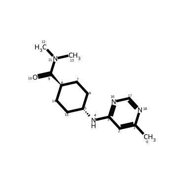 Cc1cc(N[C@H]2CC[C@H](C(=O)N(C)C)CC2)ncn1